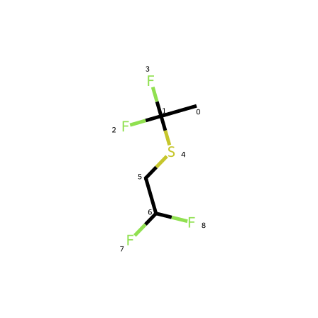 CC(F)(F)SCC(F)F